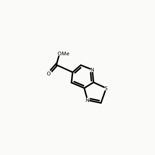 COC(=O)c1cnc2scnc2c1